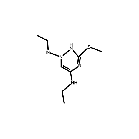 CCNC1=CN(NCC)NC(SC)=N1